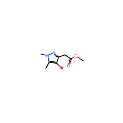 COC(=O)Cc1nn(C)c(C)c1Br